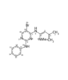 C=C(C)/C=C(\NC)Nc1nc(Nc2ccccc2)ncc1Br